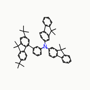 CC(C)(C)c1ccc2c(c1)C(C)(C)c1cc(C(C)(C)C)cc(-c3cccc(N(c4ccc5c(c4)C(C)(C)c4ccccc4-5)c4ccc5c(c4)C(C)(C)c4ccccc4-5)c3)c1-2